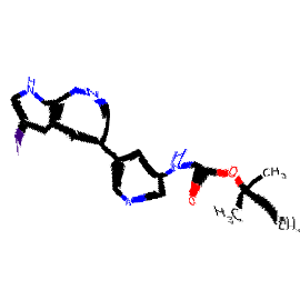 CC(C)(C)OC(=O)Nc1cncc(-c2cnc3[nH]cc(I)c3c2)c1